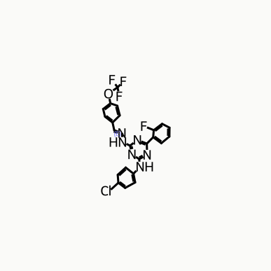 Fc1ccccc1-c1nc(N/N=C/c2ccc(OC(F)(F)F)cc2)nc(Nc2ccc(Cl)cc2)n1